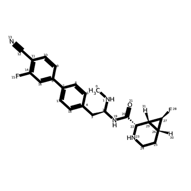 CN[C@H](Cc1ccc(-c2ccc(C#N)c(F)c2)cc1)NC(=O)[C@H]1NCC[C@H]2[C@H](F)[C@H]21